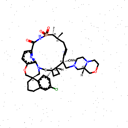 CO[C@@]1(CN2CCN3CCOC[C@@H]3C2)/C=C/C[C@H](C)[C@@H](C)S(=O)(=O)NC(=O)c2ccc3c(n2)N(C[C@@H]2CC[C@H]21)C[C@@]1(CCCc2cc(Cl)ccc21)CO3